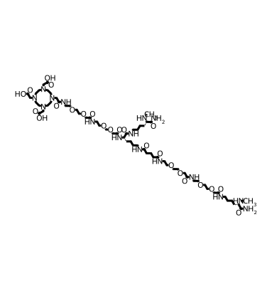 CN[C@@H](CCCCNC(=O)COCCOCCNC(=O)COCCOCCNC(=O)CCCC(=O)NCCCC[C@H](NC(=O)COCOCCNC(=O)COCCOCCNC(=O)CN1CCN(CC(=O)O)CCN(CC(=O)O)CCN(CC(=O)O)CC1)C(=O)NCCCC[C@H](NC)C(N)=O)C(N)=O